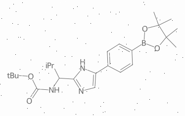 CC(C)C(NC(=O)OC(C)(C)C)c1ncc(-c2ccc(B3OC(C)(C)C(C)(C)O3)cc2)[nH]1